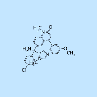 COc1cccc(-c2cc(=O)n(C)c3ccc([C@](N)(c4ccc(Cl)cc4)c4cncn4C)cc23)c1